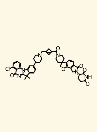 CC1(C)c2ccc(C3CCN(CC45CC(C(=O)N6CCC7(CC6)COc6c7ccc7c6CN([C@H]6CCC(=O)NC6=O)C7=O)(C4)C5)CC3)cc2-n2c1nc(=O)c1c(Cl)cccc12